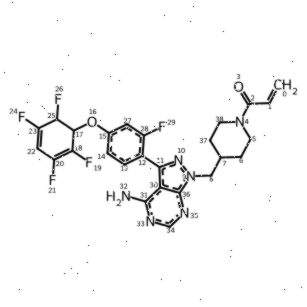 C=CC(=O)N1CCC(Cn2nc(-c3ccc(OC4C(F)=C(F)C=C(F)C4F)cc3F)c3c(N)ncnc32)CC1